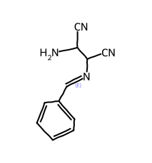 N#CC(N)C(C#N)/N=C/c1ccccc1